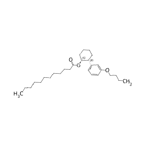 CCCCCCCCCCCC(=O)O[C@H]1CCCC[C@@H]1c1cccc(OCCCC)c1